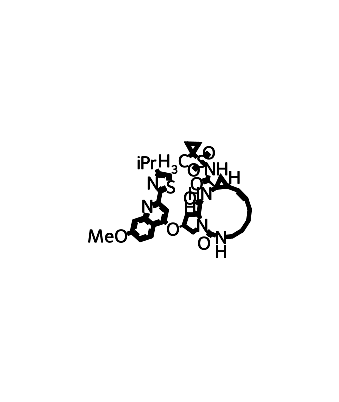 COc1ccc2c(O[C@@H]3C[C@H]4C(=O)N[C@]5(C(=O)NS(=O)(=O)C6(C)CC6)C[C@H]5/C=C\CCCCNC(=O)N4C3)cc(-c3nc(C(C)C)cs3)nc2c1